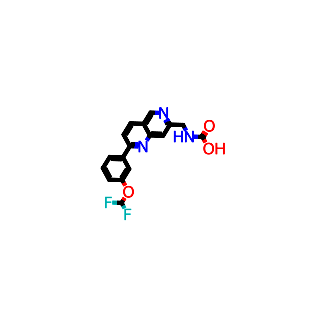 O=C(O)NCc1cc2nc(-c3cccc(OC(F)F)c3)ccc2cn1